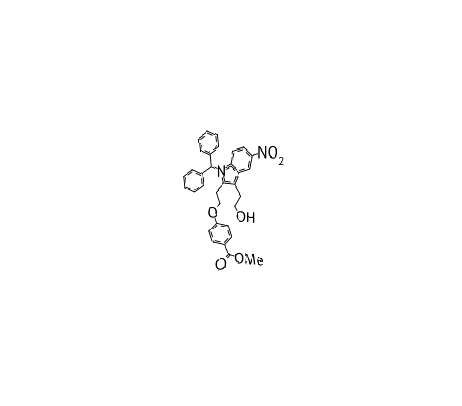 COC(=O)c1ccc(OCCc2c(CCO)c3cc([N+](=O)[O-])ccc3n2C(c2ccccc2)c2ccccc2)cc1